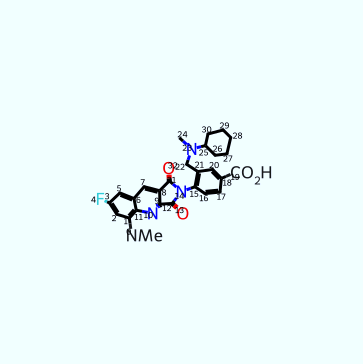 CNc1cc(F)cc2cc3c(nc12)C(=O)N(c1ccc(C(=O)O)cc1CN(C)C1CCCCC1)C3=O